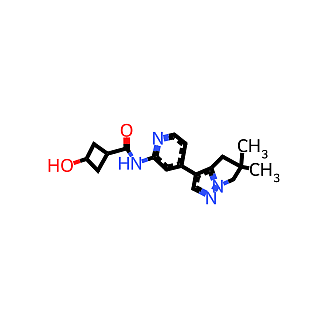 CC1(C)Cc2c(-c3ccnc(NC(=O)C4CC(O)C4)c3)cnn2C1